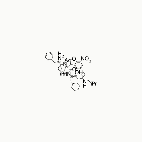 CC(=O)N(C(=O)[C@@H](N)Cc1ccccc1)[C@](CC(C)C)(C(=O)N[C@@H](CC1CCCCC1)[C@@H](O)CC(=O)NCC(C)C)C1COc2c1cccc2[N+](=O)[O-]